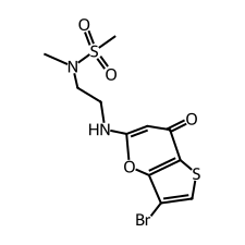 CN(CCNc1cc(=O)c2scc(Br)c2o1)S(C)(=O)=O